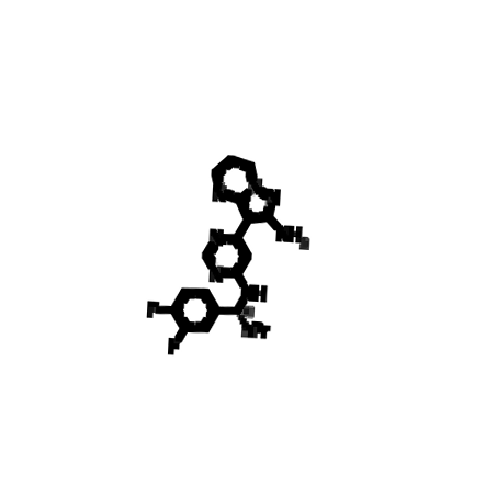 CCC[C@@H](Nc1cc(-c2c(N)nn3cccnc23)ncn1)c1ccc(F)c(F)c1